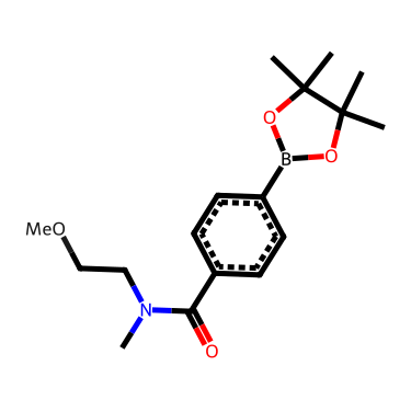 COCCN(C)C(=O)c1ccc(B2OC(C)(C)C(C)(C)O2)cc1